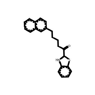 O=C(CCCCc1ccc2ccccc2c1)C1Nc2ccccc2S1